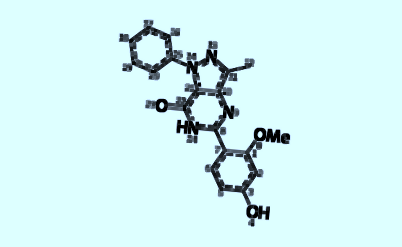 COc1cc(O)ccc1-c1nc2c(C)nn(-c3ccccc3)c2c(=O)[nH]1